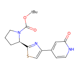 CC(C)(C)OC(=O)N1CCC[C@@H]1c1nc(-c2cc[nH]c(=O)c2)cs1